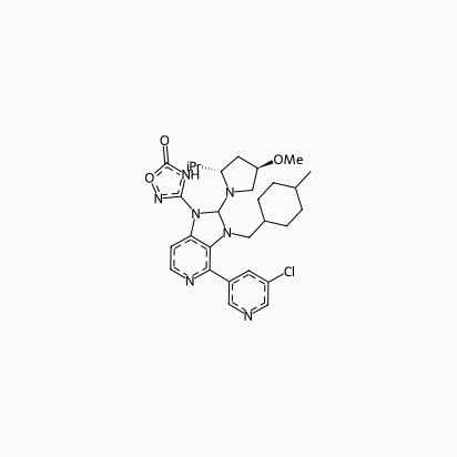 CO[C@@H]1C[C@@H](C(C)C)N(C2N(CC3CCC(C)CC3)c3c(ccnc3-c3cncc(Cl)c3)N2c2noc(=O)[nH]2)C1